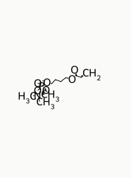 C=CC(=O)OCCCCOP(=O)([O-])O[N+](C)(C)C